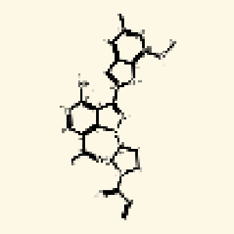 C=CC(=O)N1CC[C@H](n2nc(-c3cc4cc(C)cc(OC)c4s3)c3c(N)ncc(C(C)=O)c32)C1